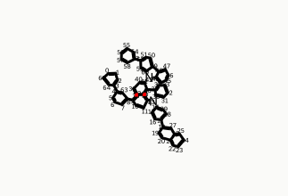 c1ccc(-c2cccc(-c3ccc(N(c4ccc(-c5ccc6ccccc6c5)cc4)c4ccccc4-c4ccccc4-n4c5ccccc5c5ccc(-c6ccccc6)cc54)cc3)c2)cc1